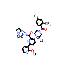 CCOc1ncccc1-c1ccc(N2CCN(C(=O)c3ccc(Cl)cc3C(F)(F)F)C[C@H]2CC)c(C(=O)NC[C@H]2CCN2C)n1